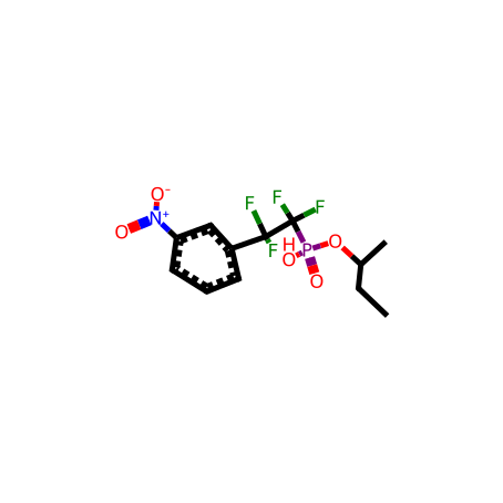 CCC(C)OP(=O)(O)C(F)(F)C(F)(F)c1cccc([N+](=O)[O-])c1